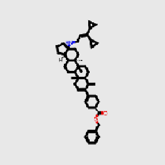 CC1C(C2=CC[C@H](C(=O)OCc3ccccc3)CC2)=CCC2(C)C1CCC1(C)C2CCC2[C@H]3CCCC3(NCC=C(C3CC3)C3CC3)CC[C@]21C